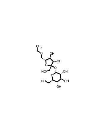 CCOC[C@H]1O[C@@](CO)(O[C@H]2O[C@H](CO)[C@@H](O)[C@H](O)[C@H]2O)[C@@H](O)[C@@H]1O